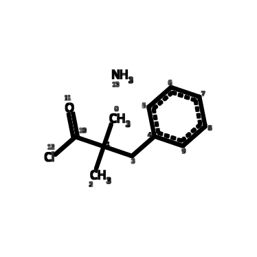 CC(C)(Cc1ccccc1)C(=O)Cl.N